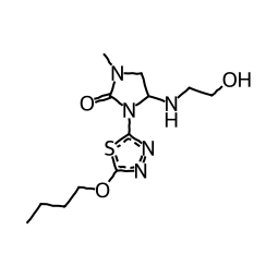 CCCCOc1nnc(N2C(=O)N(C)CC2NCCO)s1